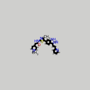 Cc1nc(NC(=O)CC2CCN(C)CC2)sc1-c1ccc(C(=N)/C=C/c2ccccn2)c(N)c1